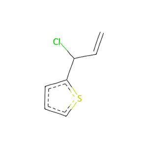 C=CC(Cl)c1cccs1